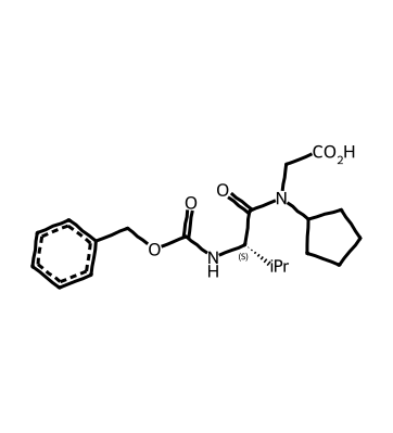 CC(C)[C@H](NC(=O)OCc1ccccc1)C(=O)N(CC(=O)O)C1CCCC1